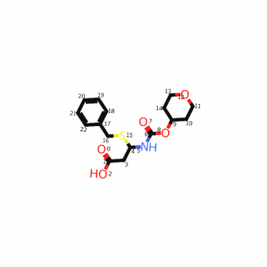 O=C(O)CC(NC(=O)OC1CCOCC1)SCc1ccccc1